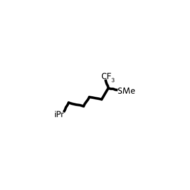 CSC(CCCCC(C)C)C(F)(F)F